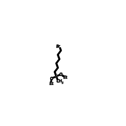 CCO[Si](C)(CCCCCCBr)OCC